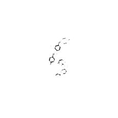 C=CC(=O)N1CCC(Nc2nccc(Oc3cc(C(=O)Nc4ccc(CN5CCN(C)CC5)c(C(F)(F)F)c4)ccc3C)n2)C1